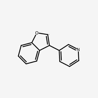 [c]1oc2ccccc2c1-c1cccnc1